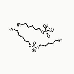 CC(C)CCCCCOP(=O)(O)O.CC(C)CCCCCOP(=O)(O)OCCCCCC(C)C